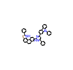 C1=C(c2ccccc2)NC(c2ccc3c(ccc4ccc5c(c43)NC(c3ccccc3)S5)c2)N=C1c1ccc2c3ccccc3n(-c3ccccc3)c2c1